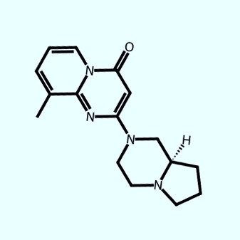 Cc1cccn2c(=O)cc(N3CCN4CCC[C@@H]4C3)nc12